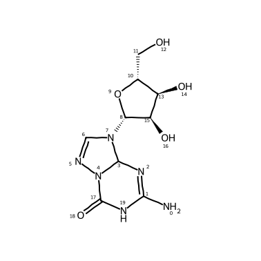 NC1=NC2N(N=CN2[C@@H]2O[C@H](CO)[C@@H](O)[C@H]2O)C(=O)N1